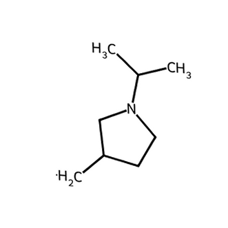 [CH2]C1CCN(C(C)C)C1